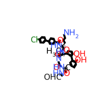 CN(C(=O)[C@H](CCCCN)NC(=O)c1ccc(-c2ccc(Cl)cc2)cc1)[C@@H]1C(=O)NCC(=O)N[C@H](C(=O)NCC=O)Cc2ccc(O)c(c2)-c2cc1ccc2O